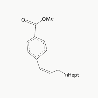 CCCCCCCC/C=C\c1ccc(C(=O)OC)cc1